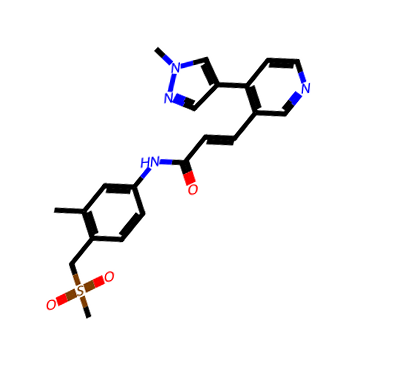 Cc1cc(NC(=O)C=Cc2cnccc2-c2cnn(C)c2)ccc1CS(C)(=O)=O